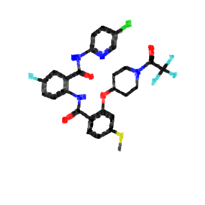 CSc1ccc(C(=O)Nc2ccc(F)cc2C(=O)Nc2ccc(Cl)cn2)c(OC2CCN(C(=O)C(F)(F)F)CC2)c1